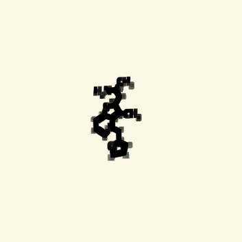 CC1=C2C(=CC=CN2Cc2ccco2)SC1C[C@H](C)N